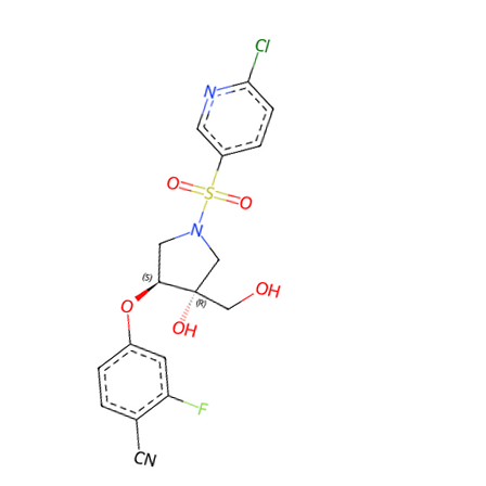 N#Cc1ccc(O[C@H]2CN(S(=O)(=O)c3ccc(Cl)nc3)C[C@@]2(O)CO)cc1F